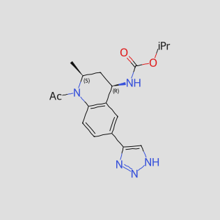 CC(=O)N1c2ccc(-c3c[nH]nn3)cc2[C@H](NC(=O)OC(C)C)C[C@@H]1C